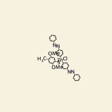 COc1cc([S][Zn]([Cl])([c]2ccc(/N=N/c3ccccc3)cc2)[c]2ccc(/N=N/c3ccccc3)cc2)c(OC)cc1C